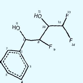 OC(c1ccccc1)C(F)C(O)C(F)F